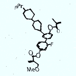 C=C(C)C(=O)Oc1ccc(-c2ccc(OC(=O)C(=C)COC)cc2F)cc1C1CCC(C2CCC(CCC)CC2)CC1